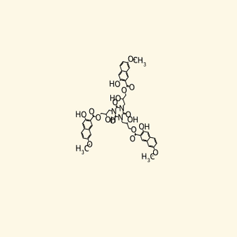 COc1ccc2cc(O)c(C(=O)OCC(O)Cn3c(=O)n(CC(O)COC(=O)c4cc5cc(OC)ccc5cc4O)c(=O)n(CC(O)COC(=O)c4cc5cc(OC)ccc5cc4O)c3=O)cc2c1